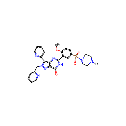 CCCOc1ccc(S(=O)(=O)N2CCN(CC)CC2)cc1-c1nc2c(-c3ccccn3)n(Cc3ccccn3)nc2c(=O)[nH]1